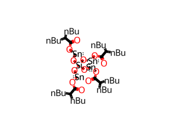 CCCCC(CCCC)C(=O)[O][Sn][O][Si]([O][Sn][O]C(=O)C(CCCC)CCCC)([O][Sn][O]C(=O)C(CCCC)CCCC)[O][Sn][O]C(=O)C(CCCC)CCCC